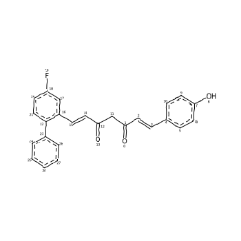 O=C(/C=C/c1ccc(O)cc1)CC(=O)/C=C/c1cc(F)ccc1-c1ccccc1